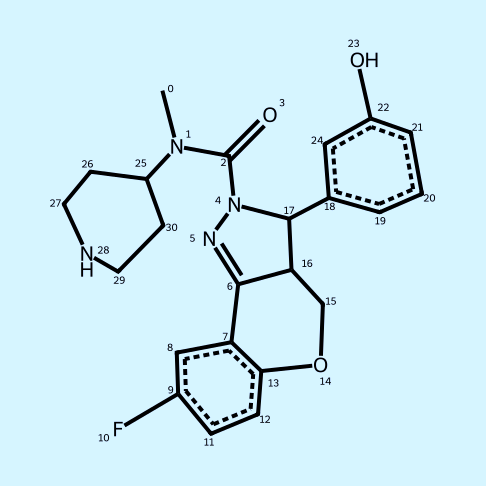 CN(C(=O)N1N=C2c3cc(F)ccc3OCC2C1c1cccc(O)c1)C1CCNCC1